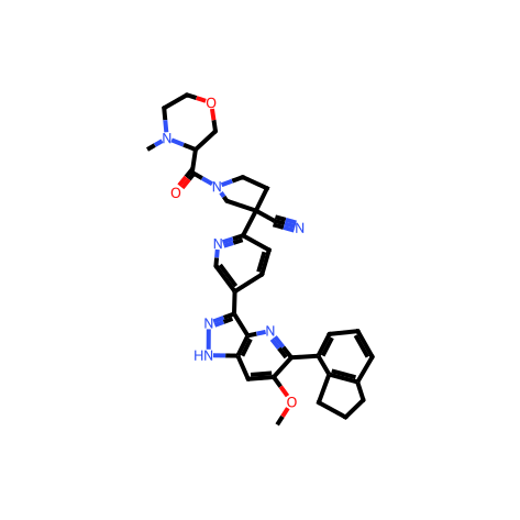 COc1cc2[nH]nc(-c3ccc(C4(C#N)CCN(C(=O)C5COCCN5C)C4)nc3)c2nc1-c1cccc2c1CCC2